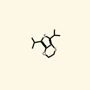 CC(C)c1sc(C(C)C)c2c1OCCS2